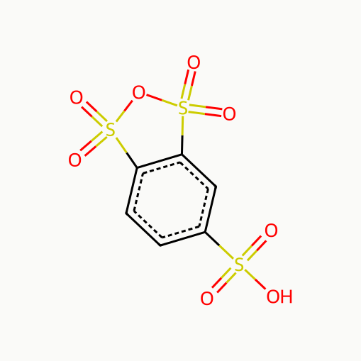 O=S(=O)(O)c1ccc2c(c1)S(=O)(=O)OS2(=O)=O